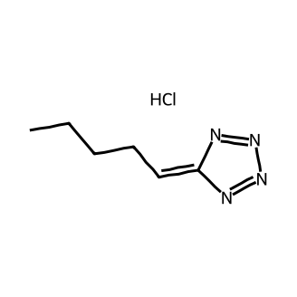 CCCCC=C1N=NN=N1.Cl